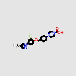 Cc1cnn(-c2ccc(OCC3CCC(N4CCN(C(=O)O)CC4)CC3)c(F)c2)c1